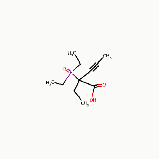 CC#CC(CC)(C(=O)O)P(=O)(CC)CC